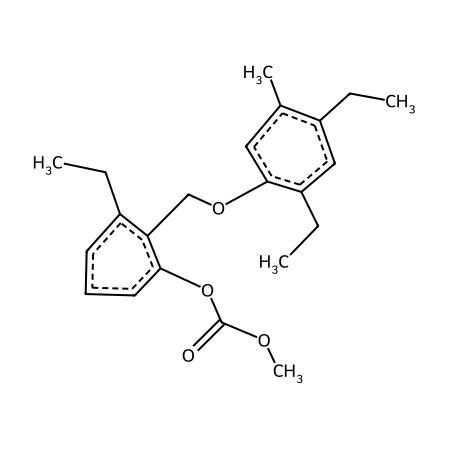 CCc1cc(CC)c(OCc2c(CC)cccc2OC(=O)OC)cc1C